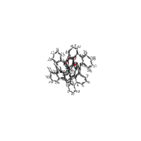 c1ccc(-c2cccc(N(c3ccc(-c4ccccc4-n4c5ccccc5c5ccccc54)cc3)c3ccccc3-c3cccc4oc5c6ccccc6ccc5c34)c2)cc1